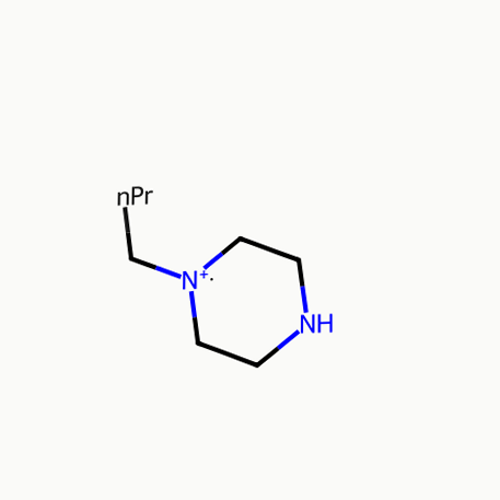 CCCC[N+]1CCNCC1